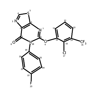 O=c1c2ncsc2nc(Oc2cccc(C(F)(F)F)c2Cl)n1-c1ccc(F)cc1